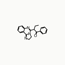 CCC(C(=O)c1ccccc1)C1=Nc2ccccc2C2=NCCN21